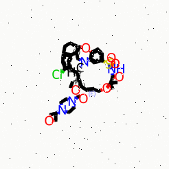 CC[C@H]1[C@@H](OC(=O)N2CCN(C3COC3)CC2)/C=C/COC(C)(C)C(=O)NS(=O)(=O)c2ccc3c(c2)N2C[C@@H]1c1cc4c(cc1Cl)CCC[C@@]4(CO3)C2